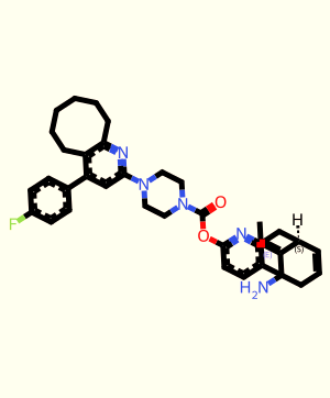 C/C=C1\[C@@H]2C=CCC1(N)c1ccc(OC(=O)N3CCN(c4cc(-c5ccc(F)cc5)c5c(n4)CCCCCC5)CC3)nc1C2